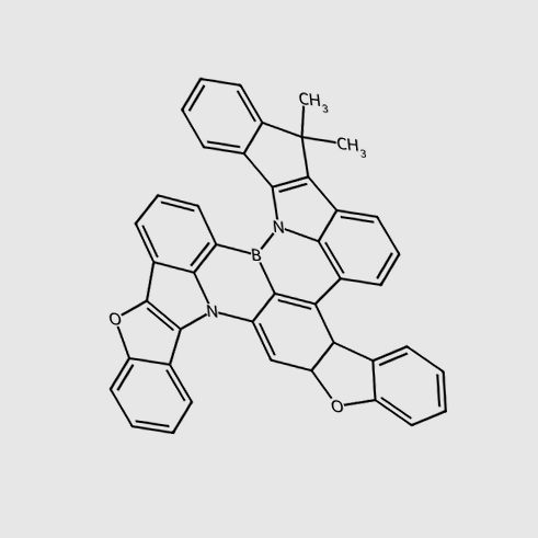 CC1(C)c2ccccc2-c2c1c1cccc3c1n2B1C2=C3C3c4ccccc4OC3C=C2n2c3c1cccc3c1oc3ccccc3c12